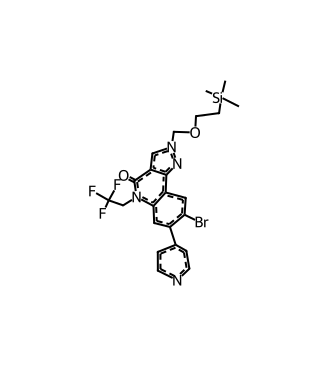 C[Si](C)(C)CCOCn1cc2c(=O)n(CC(F)(F)F)c3cc(-c4ccncc4)c(Br)cc3c2n1